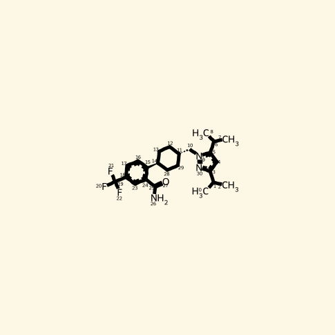 CC(C)c1cc(C(C)C)n(C[C@H]2CC[C@H](c3ccc(C(F)(F)F)cc3C(N)=O)CC2)n1